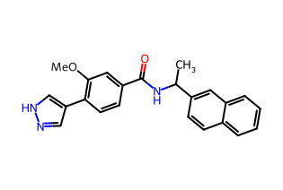 COc1cc(C(=O)NC(C)c2ccc3ccccc3c2)ccc1-c1cn[nH]c1